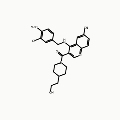 COc1ccc(CNc2c(C(=O)N3CCC(CCO)CC3)cnc3ccc(C#N)cc23)cc1Cl